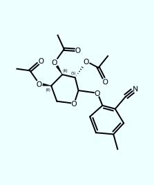 CC(=O)O[C@H]1[C@H](OC(C)=O)C(Oc2ccc(C)cc2C#N)OC[C@H]1OC(C)=O